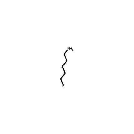 NCCSCCF